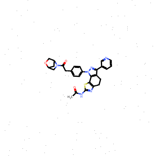 CC(=O)Nc1nc2c(s1)-c1c(c(-c3cccnc3)nn1-c1ccc(CC(=O)N3CC4CC3CO4)cc1)CC2